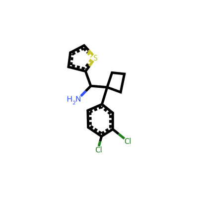 NC(c1cccs1)C1(c2ccc(Cl)c(Cl)c2)CCC1